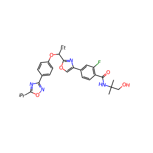 CCC(Oc1ccc(-c2noc(C(C)C)n2)cc1)c1nc(-c2ccc(C(=O)NC(C)(C)CO)c(F)c2)co1